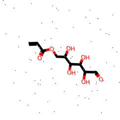 C=CC(=O)OCC(O)C(O)C(O)C(O)C=O